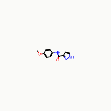 COc1ccc(NC(=O)c2cc[nH]n2)cc1